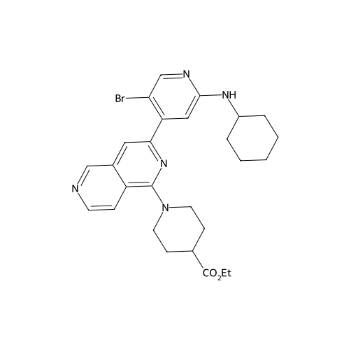 CCOC(=O)C1CCN(c2nc(-c3cc(NC4CCCCC4)ncc3Br)cc3cnccc23)CC1